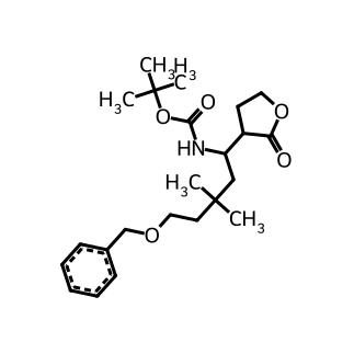 CC(C)(CCOCc1ccccc1)CC(NC(=O)OC(C)(C)C)C1CCOC1=O